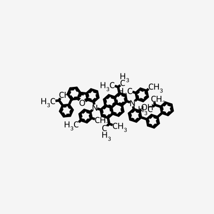 Cc1ccc(N(c2cccc(-c3cccc(-c4ccccc4C(C)C)c3)c2O)c2cc(C(C)C)c3ccc4c(N(c5ccc(C)cc5C)c5cccc6c5oc5c(-c7ccccc7C(C)C)cccc56)cc(C(C)C)c5ccc2c3c54)c(C)c1